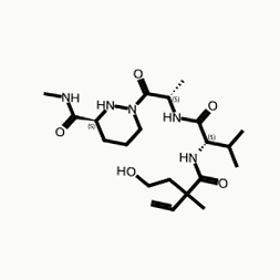 C=CC(C)(CCO)C(=O)N[C@H](C(=O)N[C@@H](C)C(=O)N1CCC[C@@H](C(=O)NC)N1)C(C)C